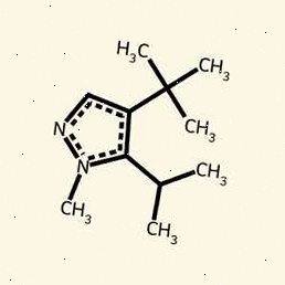 CC(C)c1c(C(C)(C)C)cnn1C